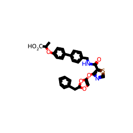 CC(Oc1ccc(-c2ccc(CNC(=O)c3scnc3OC3=COC(Cc4ccccc4)O3)cc2)cc1)C(=O)O